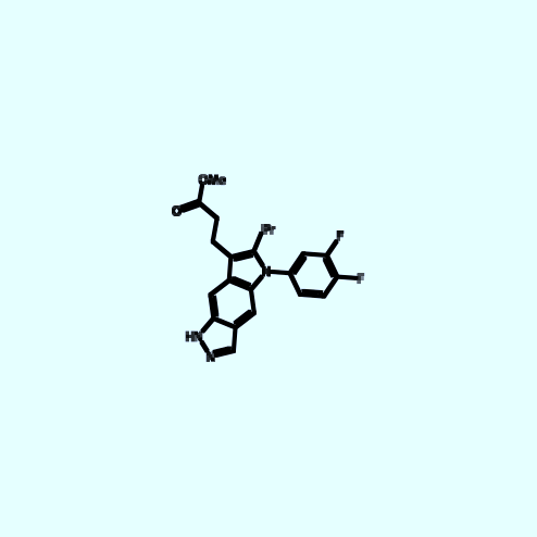 COC(=O)CCc1c(C(C)C)n(-c2ccc(F)c(F)c2)c2cc3cn[nH]c3cc12